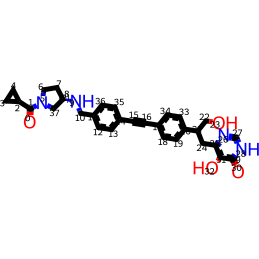 O=C(C1CC1)N1CC[C@@H](NCc2ccc(C#Cc3ccc(C(CO)Cc4nc[nH]c(=O)c4O)cc3)cc2)C1